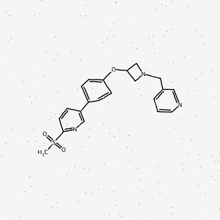 CS(=O)(=O)c1ccc(-c2ccc(OC3CN(Cc4cccnc4)C3)cc2)cn1